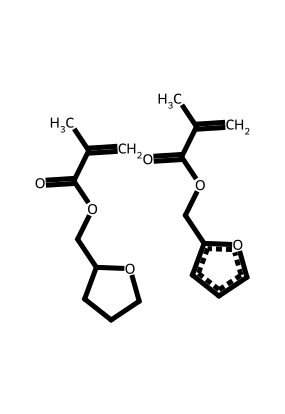 C=C(C)C(=O)OCC1CCCO1.C=C(C)C(=O)OCc1ccco1